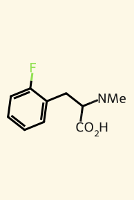 CNC(Cc1ccccc1F)C(=O)O